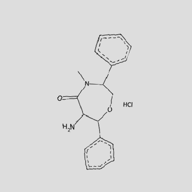 CN1C(=O)C(N)C(c2ccccc2)OCC1c1ccccc1.Cl